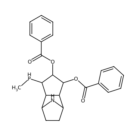 CPC1C(OC(=O)c2ccccc2)C(OC(=O)c2ccccc2)C2C3CCC(N3)C12